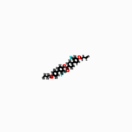 C=CCCOc1ccc(C2CCC(C(=O)Oc3ccc(-c4ccc(OCCCC)cc4)c(F)c3F)CC2)c(F)c1